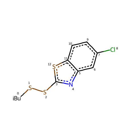 CCC(C)SSc1nc2cc(Cl)ccc2s1